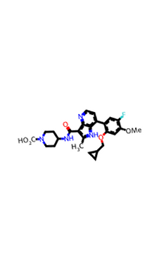 COc1cc(OCC2CC2)c(-c2ccnc3c(C(=O)NC4CCN(C(=O)O)CC4)c(C)[nH]c23)cc1F